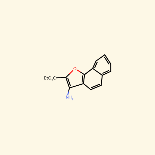 CCOC(=O)c1oc2c(ccc3ccccc32)c1N